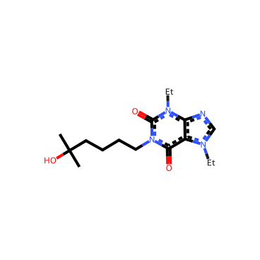 CCn1cnc2c1c(=O)n(CCCCC(C)(C)O)c(=O)n2CC